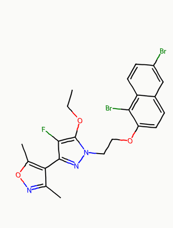 CCOc1c(F)c(-c2c(C)noc2C)nn1CCOc1ccc2cc(Br)ccc2c1Br